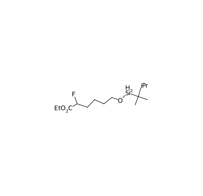 CCOC(=O)C(F)CCCCO[SiH2]C(C)(C)C(C)C